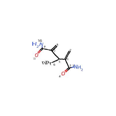 C=C(C(N)=O)C(CCC)C(=C)C(N)=O